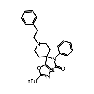 CCCCc1nnc(C2(N(C(=O)CC)c3ccccc3)CCN(CCc3ccccc3)CC2)o1